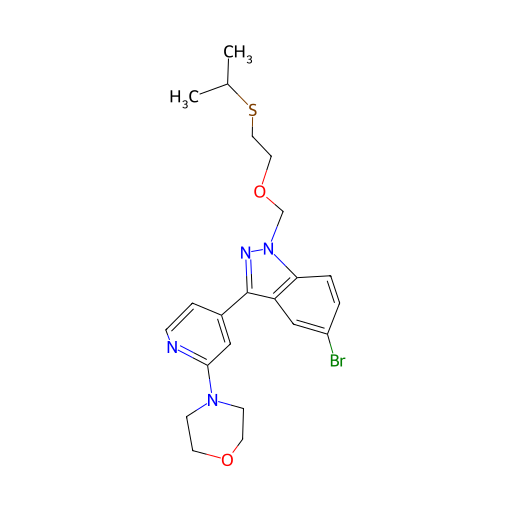 CC(C)SCCOCn1nc(-c2ccnc(N3CCOCC3)c2)c2cc(Br)ccc21